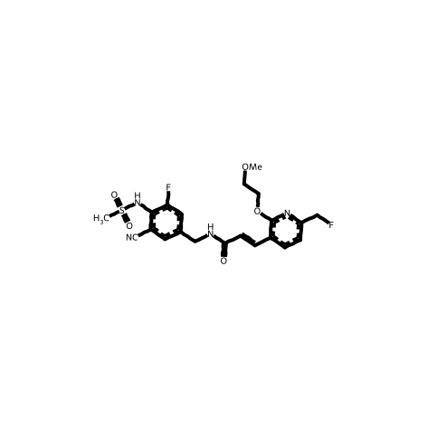 COCCOc1nc(CF)ccc1/C=C/C(=O)NCc1cc(F)c(NS(C)(=O)=O)c(C#N)c1